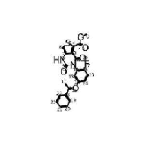 COC(=O)c1scc2[nH]c(=O)n(-c3cc(OC(C)c4ccccc4)ccc3F)c(=O)c12